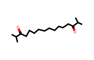 CC(C)C(=O)CCCCCCCCCCC(=O)C(C)C